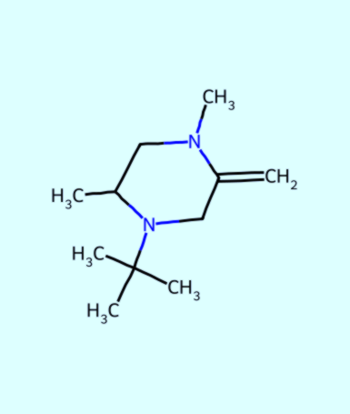 C=C1CN(C(C)(C)C)C(C)CN1C